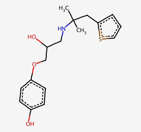 CC(C)(Cc1cccs1)NCC(O)COc1ccc(O)cc1